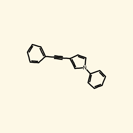 C(#Cc1ccn(-c2ccccc2)c1)c1ccccc1